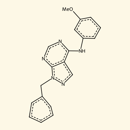 COc1cccc(Nc2ncnc3c2cnn3Cc2ccccc2)c1